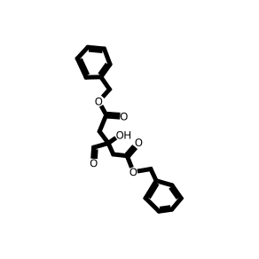 O=CC(O)(CC(=O)OCc1ccccc1)CC(=O)OCc1ccccc1